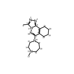 Cc1nnc2c3c(c(N4CCCN(C)CC4)nn12)CCCC3